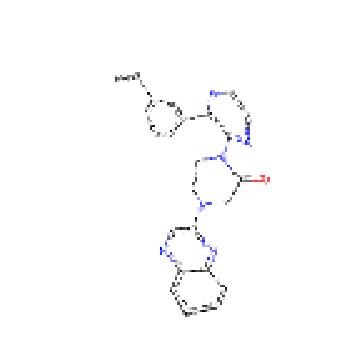 COc1cccc(-c2nccnc2N2CCN(c3cnc4ccccc4n3)CC2=O)c1